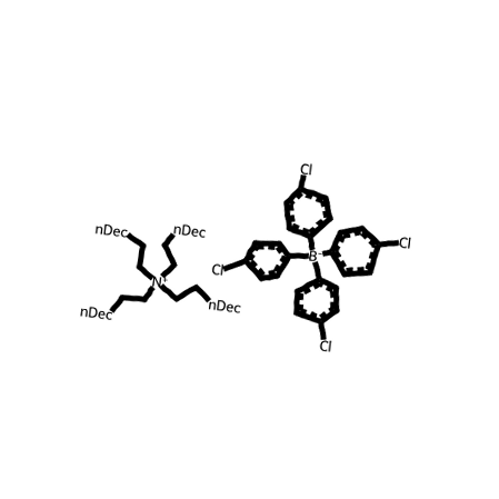 CCCCCCCCCCCC[N+](CCCCCCCCCCCC)(CCCCCCCCCCCC)CCCCCCCCCCCC.Clc1ccc([B-](c2ccc(Cl)cc2)(c2ccc(Cl)cc2)c2ccc(Cl)cc2)cc1